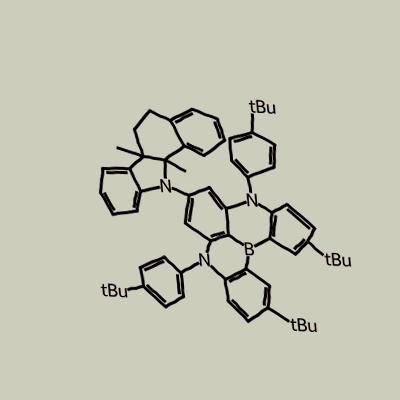 CC(C)(C)c1ccc(N2c3ccc(C(C)(C)C)cc3B3c4cc(C(C)(C)C)ccc4N(c4ccc(C(C)(C)C)cc4)c4cc(N5c6ccccc6C6(C)CCc7ccccc7C56C)cc2c43)cc1